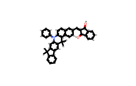 CC1(C)c2ccccc2-c2cc3c(cc21)N(c1ccccc1)c1ccc2cc(C=C4C(=O)c5ccccc5C4=O)ccc2c1C3(C)C